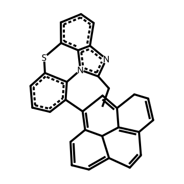 CCc1nc2cccc3c2n1-c1c(cccc1C1=C2C=CC=C4C=CC5=C(C(=C1)CC=C5)C42)S3